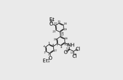 CCOc1cccc(-c2cc(NC(=O)C(Cl)Cl)cc(-c3cccc(OCC)c3)c2)c1